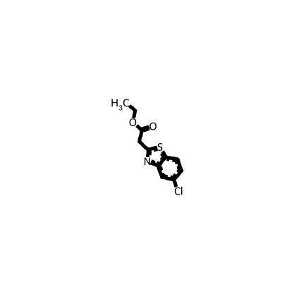 CCOC(=O)Cc1nc2cc(Cl)ccc2s1